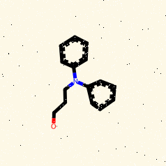 [O]CCCN(c1ccccc1)c1ccccc1